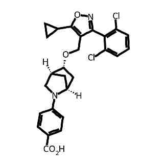 O=C(O)c1ccc(N2C[C@@H]3C[C@H]2C[C@H]3OCc2c(-c3c(Cl)cccc3Cl)noc2C2CC2)cc1